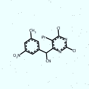 Cc1cc(C(C#N)c2nc(Cl)nc(Cl)c2C(C)C)cc([N+](=O)[O-])c1